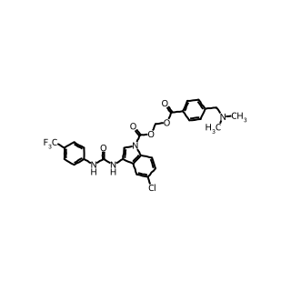 CN(C)Cc1ccc(C(=O)OCOC(=O)n2cc(NC(=O)Nc3ccc(C(F)(F)F)cc3)c3cc(Cl)ccc32)cc1